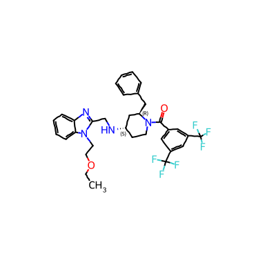 CCOCCn1c(CN[C@H]2CCN(C(=O)c3cc(C(F)(F)F)cc(C(F)(F)F)c3)[C@H](Cc3ccccc3)C2)nc2ccccc21